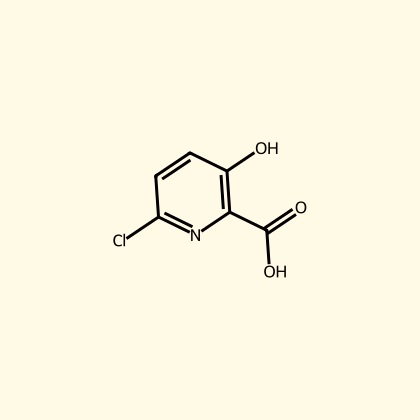 O=C(O)c1nc(Cl)ccc1O